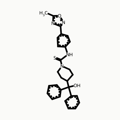 Cc1nc(-c2ccc(NC(=S)N3CCC(C(O)(c4ccccc4)c4ccccc4)CC3)cc2)no1